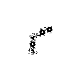 CO[C@@H](Cc1ccc(OC(C)(C)C(=O)NCCc2ccc(Oc3ccccc3)cc2)cc1)C(=O)O